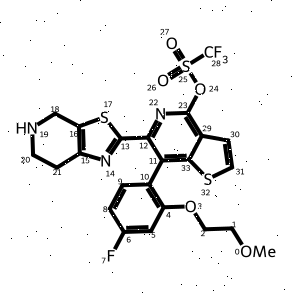 COCCOc1cc(F)ccc1-c1c(-c2nc3c(s2)CNCC3)nc(OS(=O)(=O)C(F)(F)F)c2ccsc12